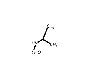 CC(C)NC=O